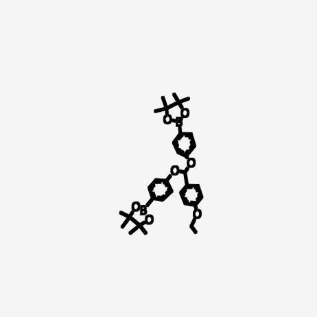 CCOc1ccc(C(Oc2ccc(B3OC(C)(C)C(C)(C)O3)cc2)Oc2ccc(B3OC(C)(C)C(C)(C)O3)cc2)cc1